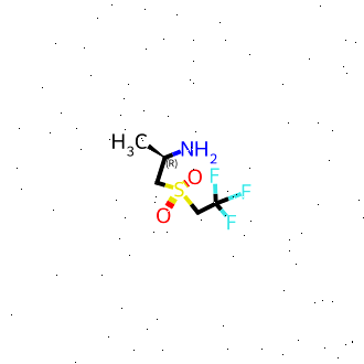 C[C@@H](N)CS(=O)(=O)CC(F)(F)F